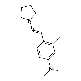 Cc1cc(N(C)C)ccc1C=NN1CCCC1